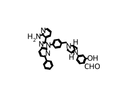 Nc1ncccc1-c1nc2ccc(-c3ccccc3)nc2n1-c1ccc(CN2C[C@H]3C[C@@H]2CN3c2ccc(C=O)c(O)c2)cc1